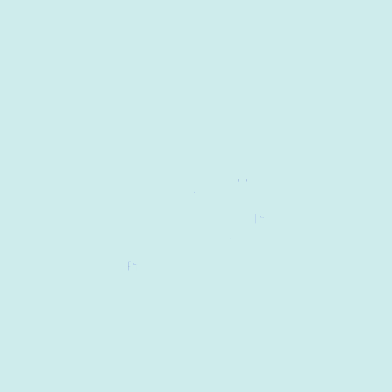 CC(C)C1=CC=CC(C(=O)C2(c3ccccc3)CCCC2)(C(C)C)[CH]1